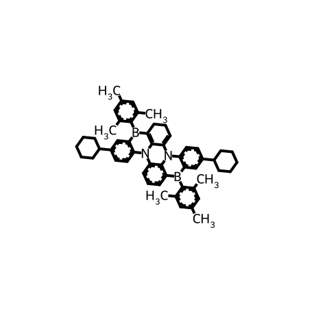 Cc1cc(C)c(B2C3=C4C(=CCC3)N3c5ccc(C6CCCCC6)cc5B(c5c(C)cc(C)cc5C)c5cccc(c53)N4c3ccc(C4CCCCC4)cc32)c(C)c1